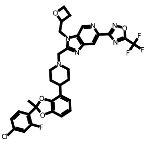 CC1(c2ccc(Cl)cc2F)Oc2cccc(C3CCN(Cc4nc5cc(-c6noc(C(F)(F)F)n6)ncc5n4CC4CCO4)CC3)c2O1